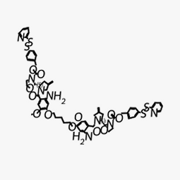 C=C1C[C@@H](C2OCCN2C(=O)OCc2ccc(SSc3ccccn3)cc2)N(C(=O)c2cc(OC)c(OCCCCCOc3cc(N)c(C(=O)N4CC(=C)C[C@H]4C4OCCN4C(=O)OCc4ccc(SSc5ccccn5)cc4)cc3OC)cc2N)C1